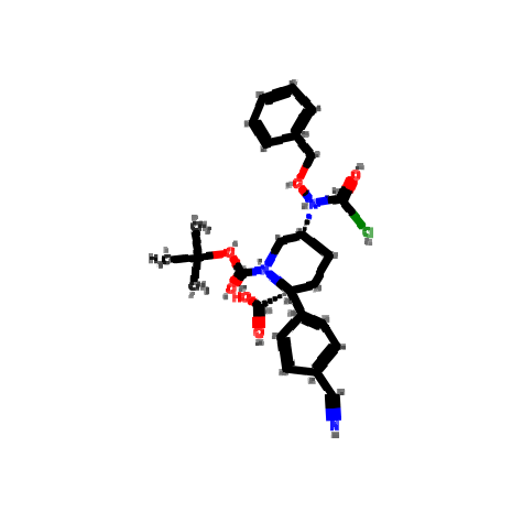 CC(C)(C)OC(=O)N1C[C@H](N(OCc2ccccc2)C(=O)Cl)CC[C@@]1(C(=O)O)c1ccc(C#N)cc1